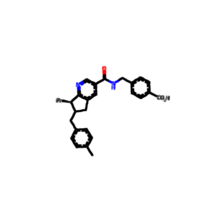 Cc1ccc(CC2Cc3cc(C(=O)NCc4ccc(C(=O)O)cc4)cnc3[C@@H]2C(C)C)cc1